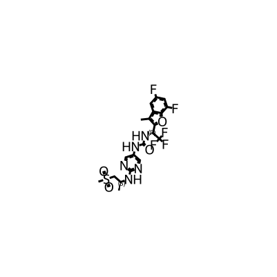 Cc1c([C@@H](NC(=O)Nc2cnc(N[C@@H](C)CS(C)(=O)=O)nc2)C(F)(F)F)oc2c(F)cc(F)cc12